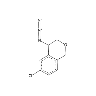 [N-]=[N+]=NC1COCc2ccc(Cl)cc21